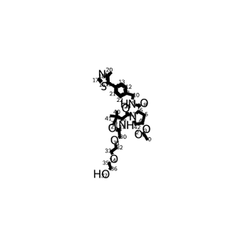 CC(=O)O[C@@H]1C[C@@H](C(=O)NCc2ccc(-c3scnc3C)cc2)N(C(=O)[C@@H](NC(=O)COCCOCCO)C(C)(C)C)C1